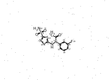 CC(=O)N(Nc1nnc(S(N)(=O)=O)s1)c1cccc(F)c1